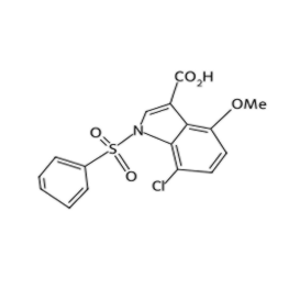 COc1ccc(Cl)c2c1c(C(=O)O)cn2S(=O)(=O)c1ccccc1